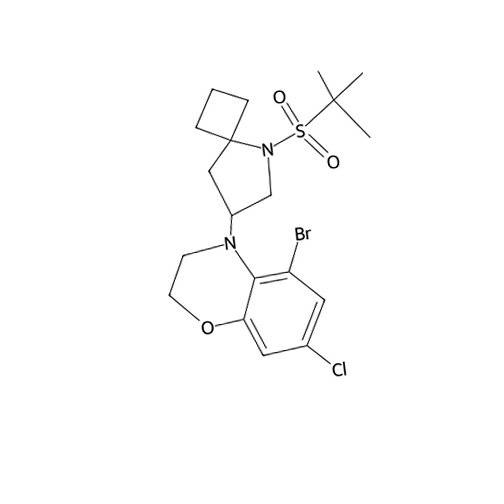 CC(C)(C)S(=O)(=O)N1CC(N2CCOc3cc(Cl)cc(Br)c32)CC12CCC2